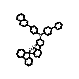 CC1(c2cccc3c2oc2cc(N(c4ccc(-c5ccccc5)cc4)c4ccc(-c5ccc6ccccc6c5)cc4)ccc23)c2ccccc2-c2ccccc21